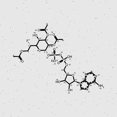 CC(=O)OC[C@H](F)C1O[C@@H](OP(=O)(O)OP(=O)(O)OC[C@H]2O[C@@H](n3cnc4c(N)ncnc43)C(O)C2O)C(OC(C)=O)C(OC(C)=O)[C@@H]1O